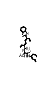 C=C/C=C(\C=C/C)NC(=O)/C(=N\N/C(C=C)=C/C=C(\C=C)c1nc2ccccc2s1)C(C)=O